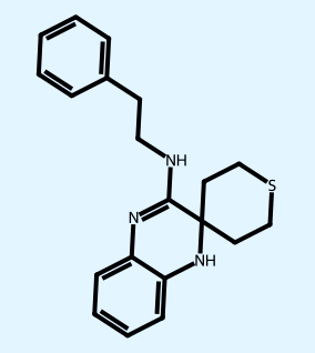 c1ccc(CCNC2=Nc3ccccc3NC23CCSCC3)cc1